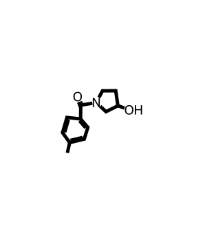 Cc1ccc(C(=O)N2CCC(O)C2)cc1